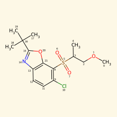 COCC(C)S(=O)(=O)c1c(Cl)ccc2nc(C(C)(C)C)oc12